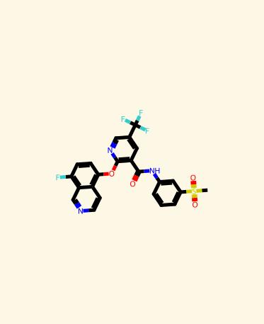 CS(=O)(=O)c1cccc(NC(=O)c2cc(C(F)(F)F)cnc2Oc2ccc(F)c3cnccc23)c1